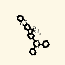 CC1(C)c2cc(-c3cc(-c4ccccc4)nc(-c4ccccc4)n3)ccc2-c2cc3c(cc21)Oc1ccccc1O3